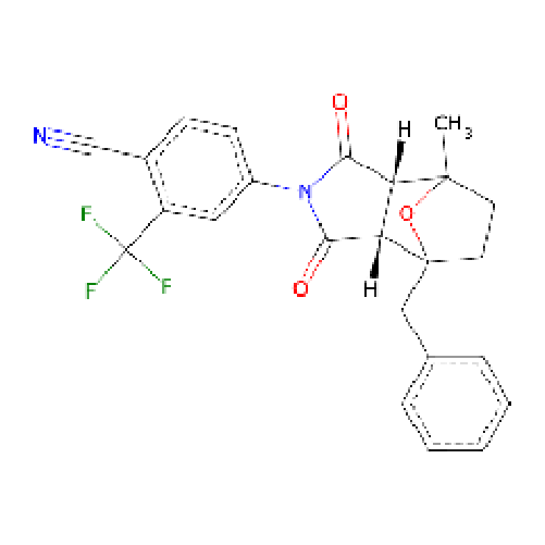 CC12CCC(Cc3ccccc3)(O1)[C@@H]1C(=O)N(c3ccc(C#N)c(C(F)(F)F)c3)C(=O)[C@@H]12